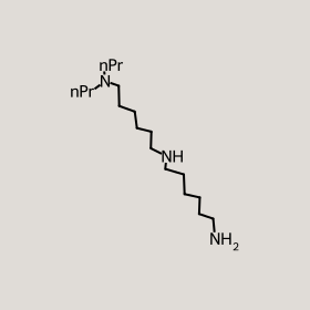 CCCN(CCC)CCCCCCNCCCCCCN